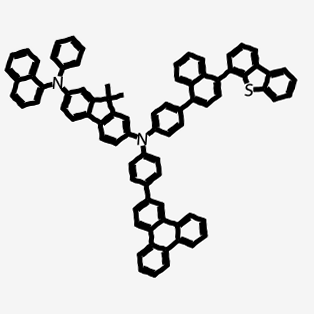 CC1(C)c2cc(N(c3ccc(-c4ccc5c6ccccc6c6ccccc6c5c4)cc3)c3ccc(-c4ccc(-c5cccc6c5sc5ccccc56)c5ccccc45)cc3)ccc2-c2ccc(N(c3ccccc3)c3cccc4ccccc34)cc21